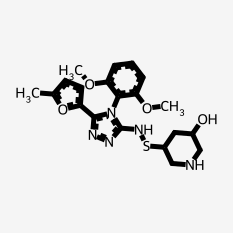 COc1cccc(OC)c1-n1c(NSC2CNCC(O)C2)nnc1-c1ccc(C)o1